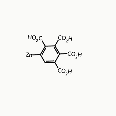 O=C(O)c1c[c]([Zn])c(C(=O)O)c(C(=O)O)c1C(=O)O